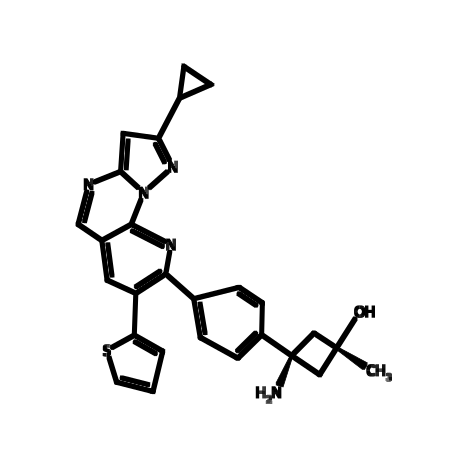 C[C@]1(O)C[C@@](N)(c2ccc(-c3nc4c(cnc5cc(C6CC6)nn54)cc3-c3cccs3)cc2)C1